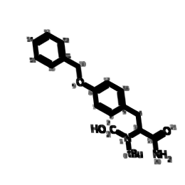 CC(C)(C)N(C(=O)O)C(Cc1ccc(OCc2ccccc2)cc1)C(N)=O